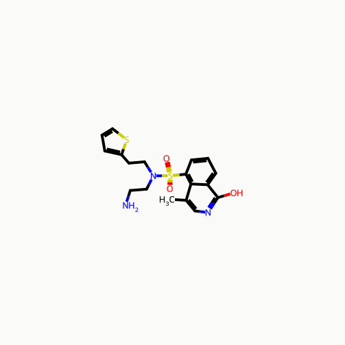 Cc1cnc(O)c2cccc(S(=O)(=O)N(CCN)CCc3cccs3)c12